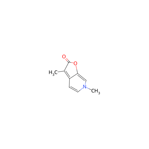 Cc1c2ccn(C)cc-2oc1=O